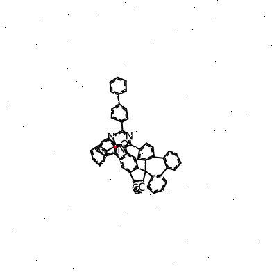 c1ccc(-c2ccc(-c3nc(-c4ccccc4)nc(-c4ccc5c(c4)C4(c6ccccc6-c6ccccc6-5)c5ccccc5-c5cc6c(cc54)oc4ccccc46)n3)cc2)cc1